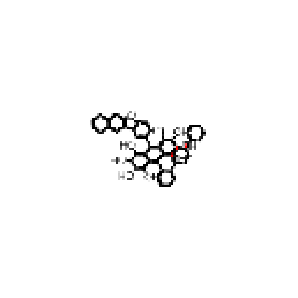 Oc1c(O)c(O)c2c(-c3ccccc3-c3ccc(-c4ccccc4)cc3)c3c(O)c(O)c(O)c(O)c3c(-c3ccc4oc5cc6ccccc6cc5c4c3)c2c1O